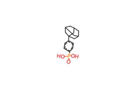 O=P(O)(O)c1ccc(C23CC4CC(CC(C4)C2)C3)cc1